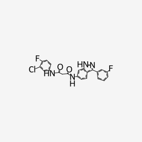 O=C(CC(=O)Nc1ccc2c(-c3cccc(F)c3)n[nH]c2c1)Nc1ccc(F)c(Cl)c1